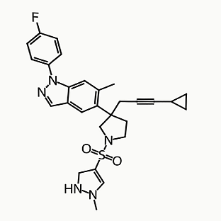 Cc1cc2c(cnn2-c2ccc(F)cc2)cc1C1(CC#CC2CC2)CCN(S(=O)(=O)C2=CN(C)NC2)C1